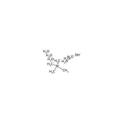 C[N+](C)(C)C.O.O.O.O.O.O.[OH-]